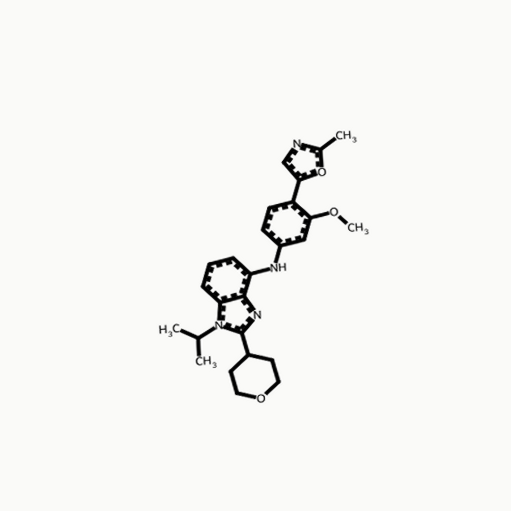 COc1cc(Nc2cccc3c2nc(C2CCOCC2)n3C(C)C)ccc1-c1cnc(C)o1